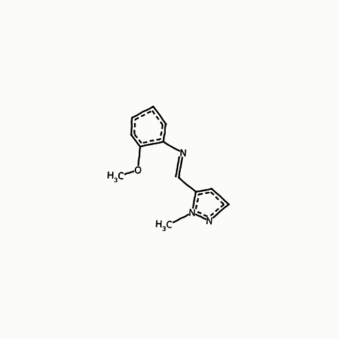 COc1ccccc1/N=C/c1ccnn1C